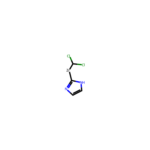 Cl[CH](Cl)[Zr][c]1ncc[nH]1